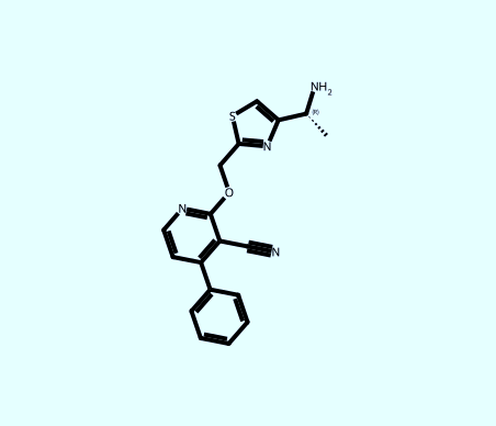 C[C@@H](N)c1csc(COc2nccc(-c3ccccc3)c2C#N)n1